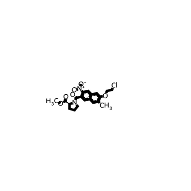 COC(=O)[C@@H]1CCCN1C(=O)c1cc2cc(C)c(OCCCl)cc2cc1[N+](=O)[O-]